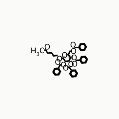 CC(=O)CCCCO[C@H]1OC(COC(=O)c2ccccc2)[C@@H](OC(=O)c2ccccc2)[C@H](OC(=O)c2ccccc2)C1OC(=O)c1ccccc1